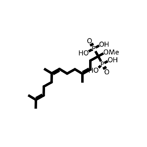 COC(CC=C(C)CCC=C(C)CCC=C(C)C)(P(=O)(O)O)P(=O)(O)O